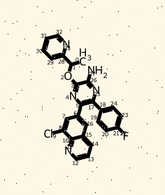 CC(Oc1nc(-c2cc(Cl)c3ncccc3c2)c(-c2ccc(F)cc2)nc1N)c1ccccn1